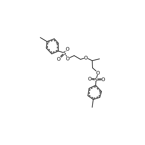 Cc1ccc(S(=O)(=O)OCCOC(C)COS(=O)(=O)c2ccc(C)cc2)cc1